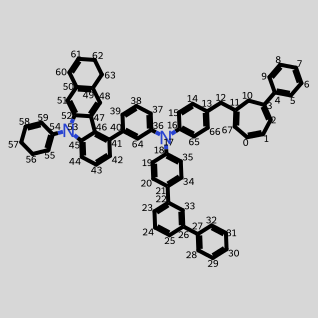 C1=CC=C(c2ccccc2)CC(Cc2ccc(N(c3ccc(-c4cccc(-c5ccccc5)c4)cc3)c3cccc(-c4cccc5c4c4cc6c(cc4n5C4=CCCC=C4)C=CCC6)c3)cc2)=C1